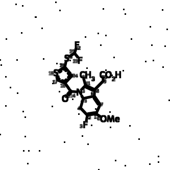 COC1=C(F)CC2C(=C1)C(CC(=O)O)=C(C)N2C(=O)c1csc(SC(F)F)c1